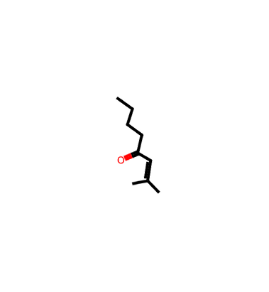 CCCCC(=O)C=C(C)C